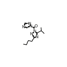 CCCCc1nc(C(C)C)n(C(=O)n2cncn2)n1